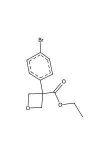 CCOC(=O)C1(c2ccc(Br)cc2)COC1